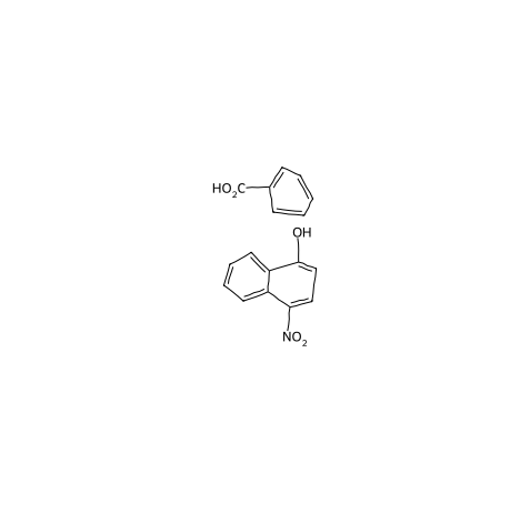 O=C(O)c1ccccc1.O=[N+]([O-])c1ccc(O)c2ccccc12